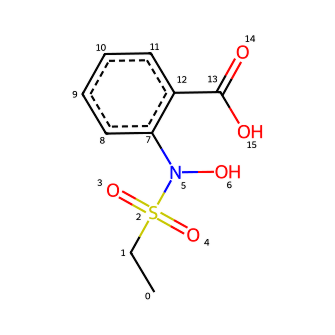 CCS(=O)(=O)N(O)c1ccccc1C(=O)O